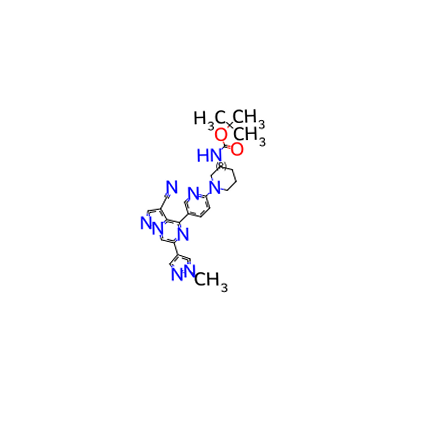 Cn1cc(-c2cn3ncc(C#N)c3c(-c3ccc(N4CCC[C@@H](NC(=O)OC(C)(C)C)C4)nc3)n2)cn1